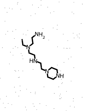 CCN(CCN)CCNCCN1CCNCC1